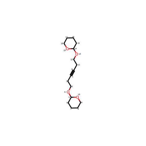 C(#CCCOC1CCCCO1)CCOC1CCCCO1